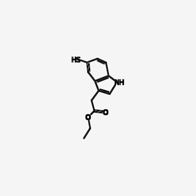 CCOC(=O)Cc1c[nH]c2ccc(S)cc12